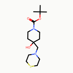 CC(C)(C)OC(=O)N1CCC(O)(CN2CCSCC2)CC1